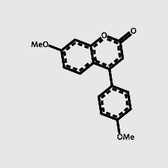 COc1ccc(-c2cc(=O)oc3cc(OC)ccc23)cc1